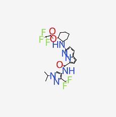 CC(C)n1cc(NC(=O)c2ccc3ccc(N[C@@H]4CCCC[C@@H]4OC(=O)C(F)(F)F)nn23)c(C(F)F)n1